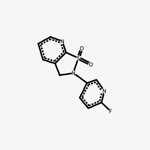 O=S1(=O)c2ncccc2CN1c1ccc(F)nc1